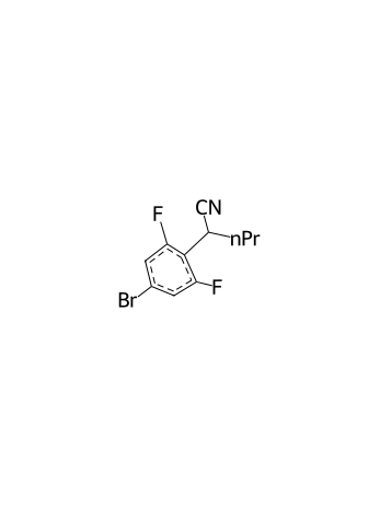 CCCC(C#N)c1c(F)cc(Br)cc1F